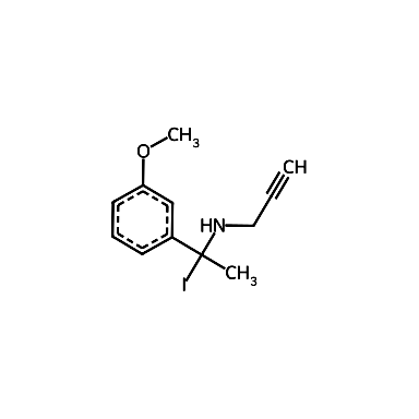 C#CCNC(C)(I)c1cccc(OC)c1